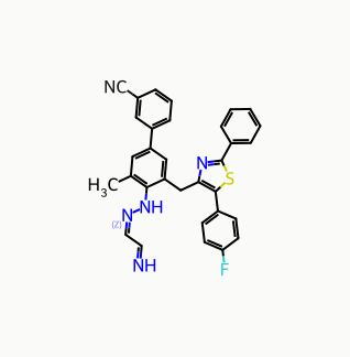 Cc1cc(-c2cccc(C#N)c2)cc(Cc2nc(-c3ccccc3)sc2-c2ccc(F)cc2)c1N/N=C\C=N